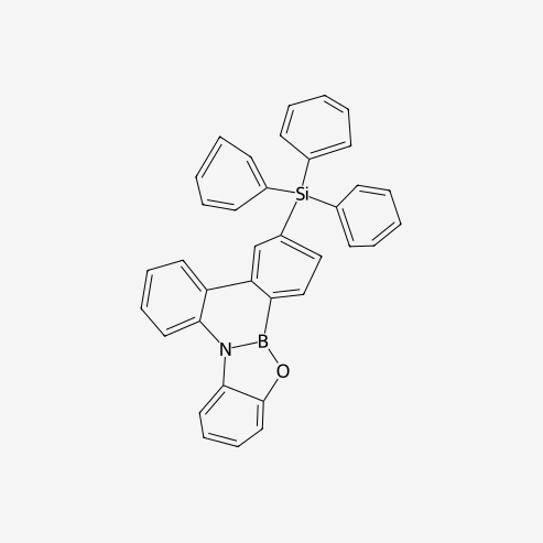 c1ccc([Si](c2ccccc2)(c2ccccc2)c2ccc3c(c2)-c2ccccc2N2B3Oc3ccccc32)cc1